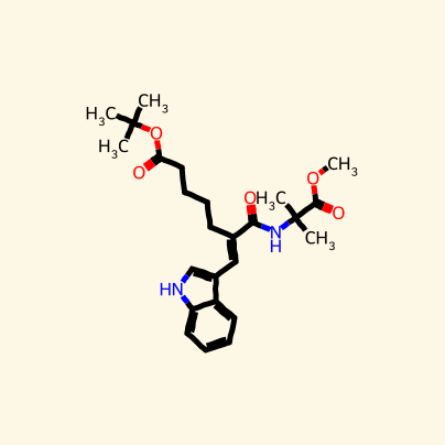 COC(=O)C(C)(C)NC(=O)/C(=C/c1c[nH]c2ccccc12)CCCCC(=O)OC(C)(C)C